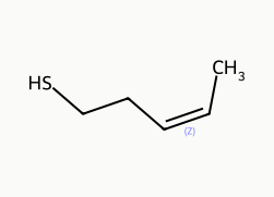 C/C=C\CCS